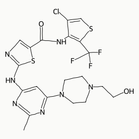 Cc1nc(Nc2ncc(C(=O)Nc3c(Cl)csc3C(F)(F)F)s2)cc(N2CCN(CCO)CC2)n1